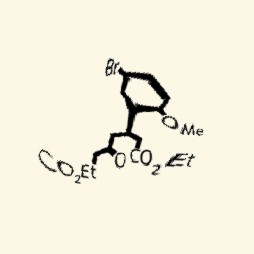 CCOC(=O)CC(=O)CC(CC(=O)OCC)c1cc(Br)ccc1OC